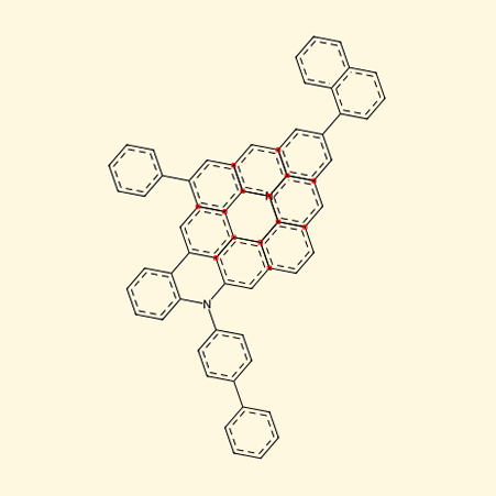 c1ccc(-c2ccc(N(c3ccc(-c4cccc5ccccc45)cc3)c3ccccc3-c3cccc(-c4ccccc4N(c4ccc(-c5ccccc5)cc4)c4ccc(-c5cccc6ccccc56)cc4)c3)cc2)cc1